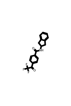 O=C(NC1Cc2ccccc2C1)c1ccc(C(=O)C(F)(F)F)cc1